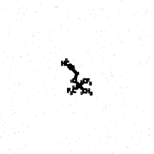 C#CCOC(C)(C(F)(F)F)C(F)(F)F